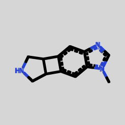 Cn1cnc2cc3c(cc21)C1CNCC31